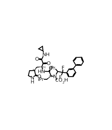 CC(C)C[C@@H](C(=O)N[C@@H](C[C@@H]1CCNC1=O)C(=O)C(=O)NC1CC1)N(C(=O)O)C(C(C)C)C(F)(F)c1cccc(-c2ccccc2)c1